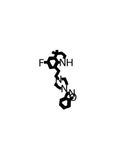 CC1(C)CCNc2c(CCN3CCN(c4noc5ccccc45)CC3)cc(F)cc21